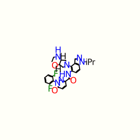 CC(C)n1ncc2c(N3C[C@@H]4NCCO[C@H]4C3)c(NC(=O)c3ccc(=O)n(-c4c(F)cccc4F)n3)ccc21